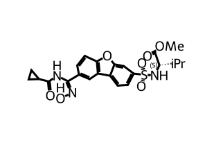 COC(=O)[C@@H](NS(=O)(=O)c1ccc2c(c1)oc1ccc(C(=NO)NC(=O)C3CC3)cc12)C(C)C